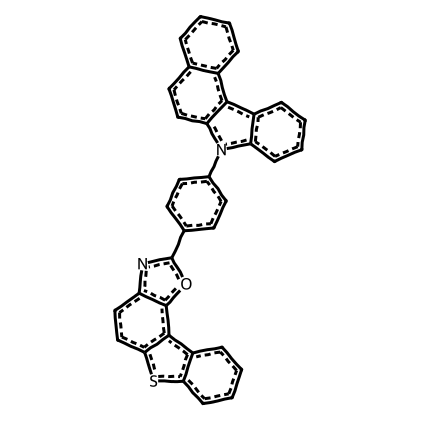 c1ccc2c(c1)ccc1c2c2ccccc2n1-c1ccc(-c2nc3ccc4sc5ccccc5c4c3o2)cc1